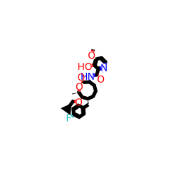 COc1ccnc(C(=O)N[C@H]2CCC[C@H](Cc3ccc(F)cc3)[C@@H](OCC3CC3)[C@H](C)OC2=O)c1O